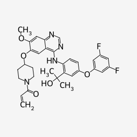 C=CC(=O)N1CCC(Oc2cc3c(Nc4ccc(Oc5cc(F)cc(F)c5)cc4C(C)(C)O)ncnc3cc2OC)CC1